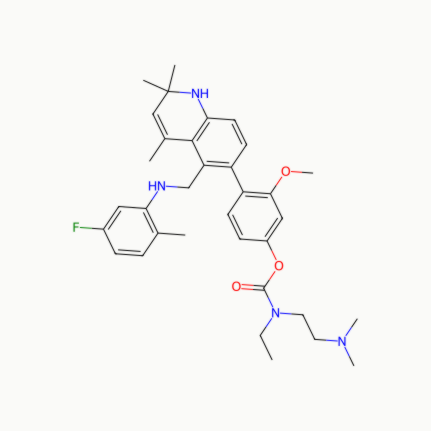 CCN(CCN(C)C)C(=O)Oc1ccc(-c2ccc3c(c2CNc2cc(F)ccc2C)C(C)=CC(C)(C)N3)c(OC)c1